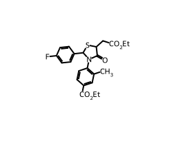 CCOC(=O)CC1SC(c2ccc(F)cc2)N(c2ccc(C(=O)OCC)cc2C)C1=O